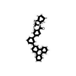 O=c1c2ccc(-c3cccc(-c4ccc5c6ccccc6c6ccccc6c5c4)c3)cc2sc2nc3ccccc3n12